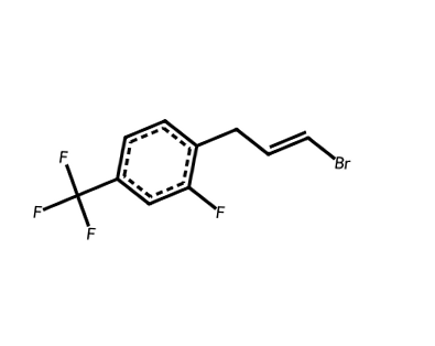 Fc1cc(C(F)(F)F)ccc1C/C=C/Br